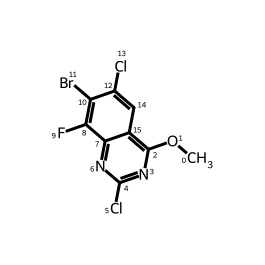 COc1nc(Cl)nc2c(F)c(Br)c(Cl)cc12